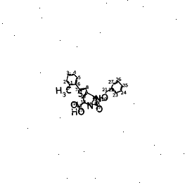 Cc1ccccc1-c1cc2c(s1)C(C(=O)O)N1CC2N(OCc2ccccc2)C1=O